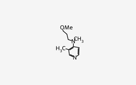 COCCCN(C)c1ccncc1C